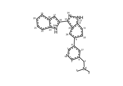 CN(C)Cc1cncc(-c2ccc3[nH]nc(-c4cc5ccccc5[nH]4)c3c2)c1